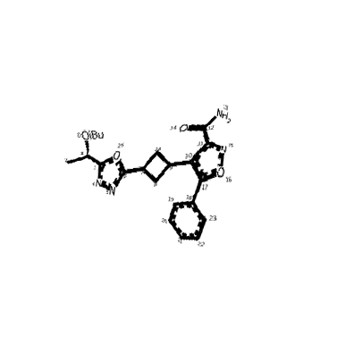 CC(C)CO[C@H](C)c1nnc(C2CC(c3c(C(N)=O)noc3-c3ccccc3)C2)o1